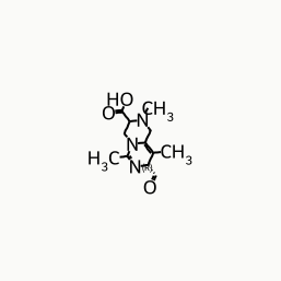 CC1=N[C@@H](C=O)C(C)=C2CN(C)C(C(=O)O)CN12